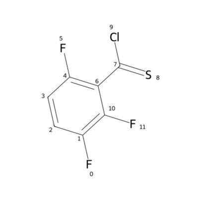 Fc1ccc(F)c(C(=S)Cl)c1F